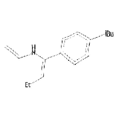 C=CN/C(=C\CC)c1ccc(C(C)CC)cc1